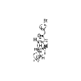 CCc1cnn(CC(=O)[C@H]2CC[C@H]3[C@@H]4CC[C@@H]5C6C[C@@]6(O)CC[C@@H]5[C@H]4CC[C@]23C)c1